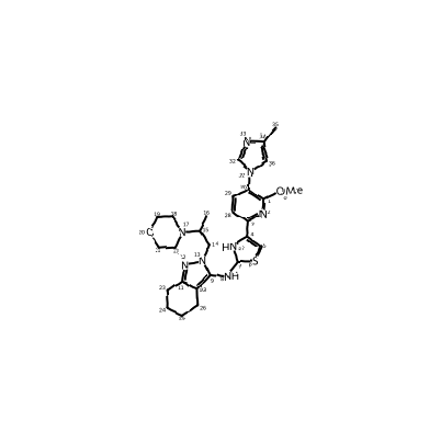 COc1nc(C2=CSC(Nc3c4c(nn3CC(C)N3CCOCC3)CCCC4)N2)ccc1-n1cnc(C)c1